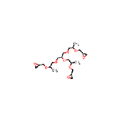 CC(COCC(COCC(C)OCC1CO1)OCC(C)OCC1CO1)OCC1CO1